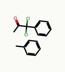 CC(=O)C(Cl)(Cl)c1ccccc1.Cc1ccccc1